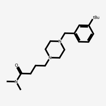 CN(C)C(=O)CCCN1CCN(Cc2cccc(C(C)(C)C)c2)CC1